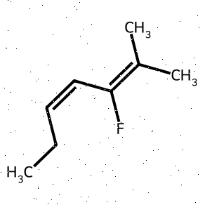 CC/C=C\C(F)=C(C)C